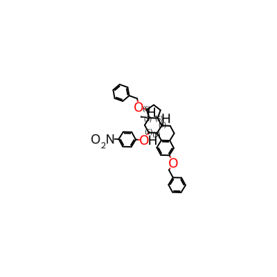 C[C@]12C[C@H](Oc3ccc([N+](=O)[O-])cc3)[C@@H]3c4ccc(OCc5ccccc5)cc4CC[C@H]3[C@@H]1CC[C@@H]2OCc1ccccc1